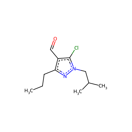 CCCc1nn(CC(C)C)c(Cl)c1C=O